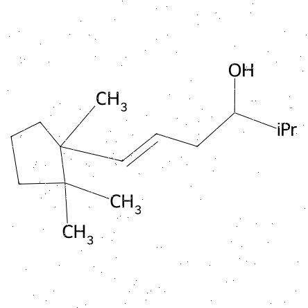 CC(C)C(O)CC=CC1(C)CCCC1(C)C